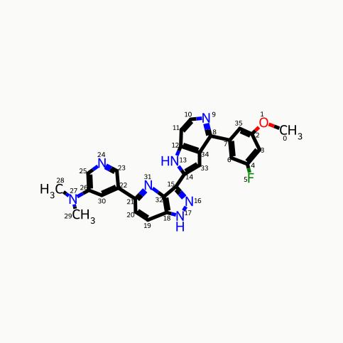 COc1cc(F)cc(-c2nccc3[nH]c(-c4n[nH]c5ccc(-c6cncc(N(C)C)c6)nc45)cc23)c1